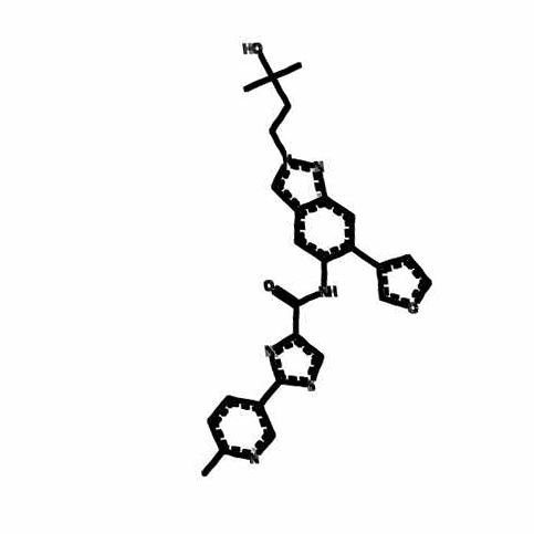 Cc1ccc(-c2nc(C(=O)Nc3cc4cn(CCC(C)(C)O)nc4cc3-c3ccoc3)cs2)cn1